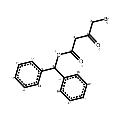 O=C(CBr)CC(=O)OC(c1ccccc1)c1ccccc1